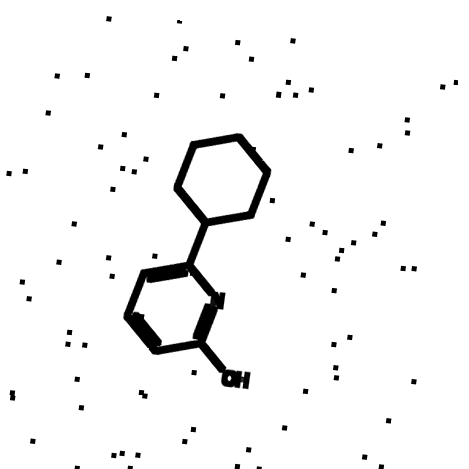 Oc1cccc(C2CCCCC2)n1